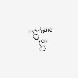 CC(OC=O)c1c[nH]c2ccc(C(O)CN3CCCCC3)cc12